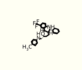 Cc1ccc(NC[C@H]2CC[C@@H]3[C@H](O2)c2cc(C(F)(F)F)ccc2N[C@H]3C2C=CC=CC2)cc1